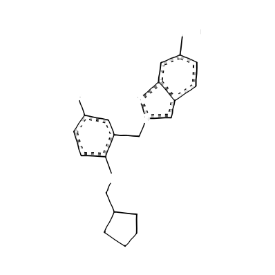 O=C(O)c1ccc2cn(Cc3cc(Br)ccc3OCC3CCCC3)nc2c1